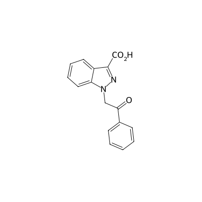 O=C(Cn1nc(C(=O)O)c2ccccc21)c1ccccc1